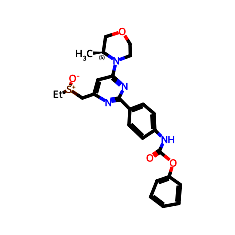 CC[S+]([O-])Cc1cc(N2CCOC[C@@H]2C)nc(-c2ccc(NC(=O)Oc3ccccc3)cc2)n1